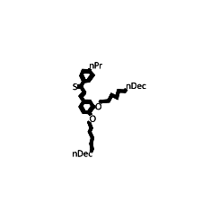 CCCCCCCCCCCCCCCCOc1ccc(C=CC(=S)c2ccc(CCC)cc2)cc1OCCCCCCCCCCCCCCCC